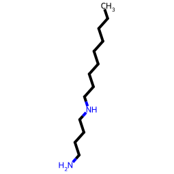 CCCCCCCCCNCCCCN